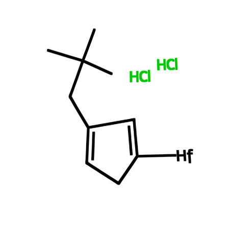 CC(C)(C)CC1=CC[C]([Hf])=C1.Cl.Cl